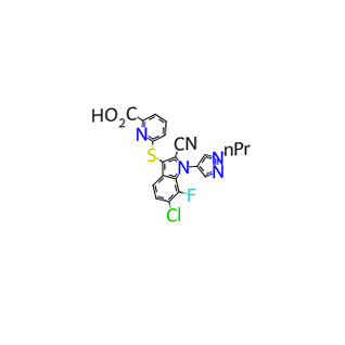 CCCn1cc(-n2c(C#N)c(Sc3cccc(C(=O)O)n3)c3ccc(Cl)c(F)c32)cn1